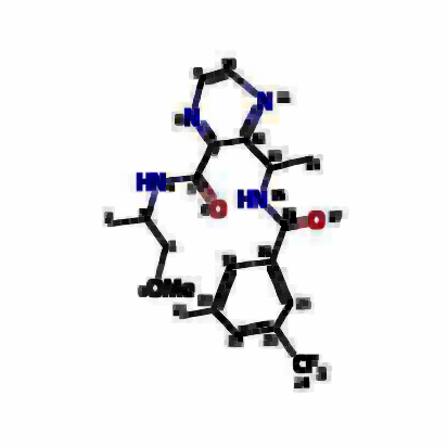 COCC(C)NC(=O)c1nccnc1C(C)NC(=O)c1cc(C)cc(C(F)(F)F)c1